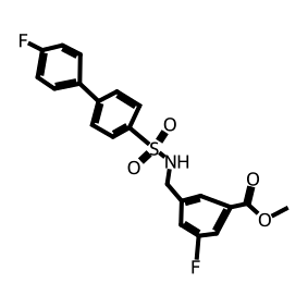 COC(=O)c1cc(F)cc(CNS(=O)(=O)c2ccc(-c3ccc(F)cc3)cc2)c1